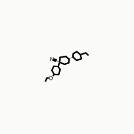 CCOC1CCC([C@]2(C#N)CC[C@@H](C3CCC(CC)CC3)CC2)CC1